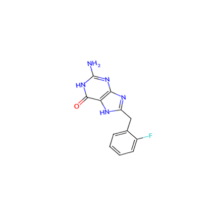 Nc1nc2nc(Cc3ccccc3F)[nH]c2c(=O)[nH]1